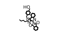 CCCCc1nc2c(N3C(=O)c4ccccc4C3=O)nc3ccccc3c2n1Cc1ccc(CO)cc1